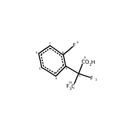 O=C(O)C(F)(c1ccccc1F)C(F)(F)F